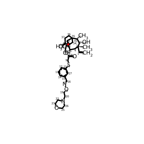 C=C[C@]1(C)C[C@@H](OC(=O)CSc2cccc(/C=N/OCCN3CCOCC3)c2)[C@]2(C)C(C)CC34CC(CCC3=O)(C42)[C@@H](C)[C@@H]1O